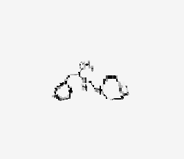 CC(Cc1ccccc1)NCCN1CCOCC1